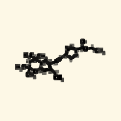 CCOC(=O)c1ccc(C#Cc2cc3c(cc2CC)OC(C)(C)CC3(C)C)nc1